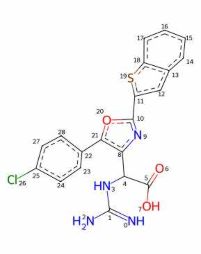 N=C(N)NC(C(=O)O)c1nc(-c2cc3ccccc3s2)oc1-c1ccc(Cl)cc1